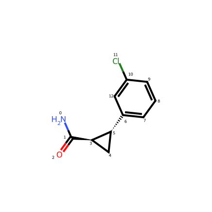 NC(=O)[C@@H]1C[C@H]1c1cccc(Cl)c1